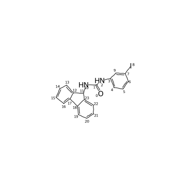 O=C(Nc1cccc(I)c1)NC1c2ccccc2-c2ccccc21